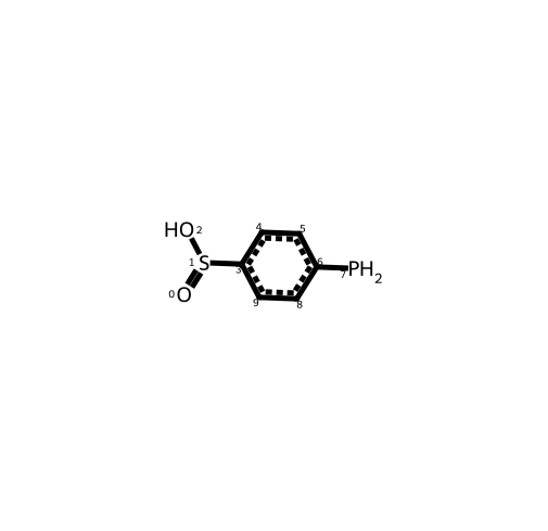 O=S(O)c1ccc(P)cc1